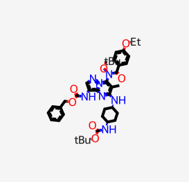 CCOc1ccc(C(=O)N(OC(C)(C)C)c2c(C)c(N[C@H]3CC[C@H](NC(=O)OC(C)(C)C)CC3)nc3c(NC(=O)OCc4ccccc4)cnn23)cc1